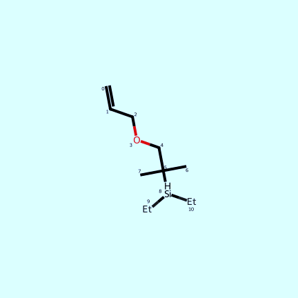 C=CCOCC(C)(C)[SiH](CC)CC